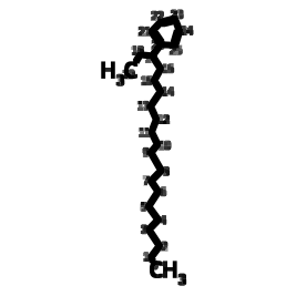 CCCCCCCCCCCCCCCCCC(CC)c1ccccc1